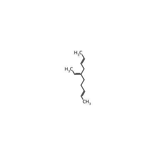 CC=CCCC(=CC)CC=CC